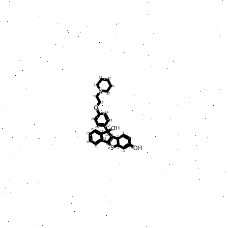 OC1=CC2SC3=C(C2C=C1)C(O)(c1ccc(OCCN2CCCCC2)cc1)c1ccccc13